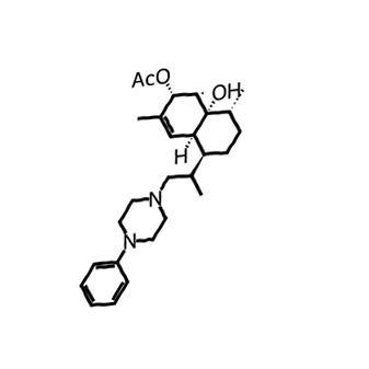 CC(=O)O[C@@H]1[CH][C@@]2(O)[C@H](C)CC[C@@H](C(C)CN3CCN(c4ccccc4)CC3)[C@H]2C=C1C